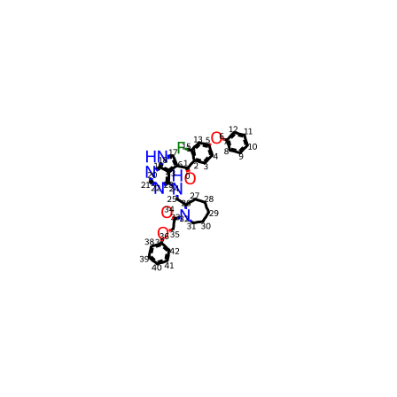 O=C(c1ccc(Oc2ccccc2)cc1F)c1c[nH]c2ncnc(NCC3CCCCCN3C(=O)COc3ccccc3)c12